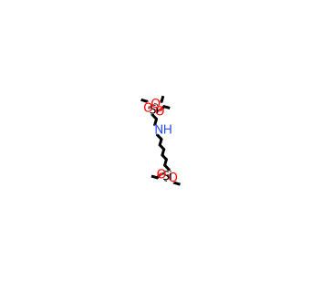 CCO[Si](C)(CCCCCCCCNCCC[Si](OCC)(OCC)OCC)OCC